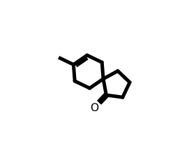 CC1=CCC2(CCCC2=O)CC1